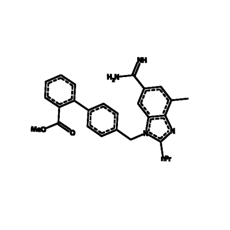 CCCc1nc2c(C)cc(C(=N)N)cc2n1Cc1ccc(-c2ccccc2C(=O)OC)cc1